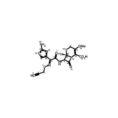 C#CCON=C(C(=O)NC1C(=O)N2C(C(=O)O)=C(OC)CS[C@@H]12)c1csc(N)n1